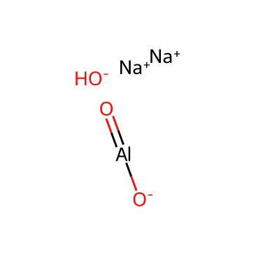 [Na+].[Na+].[OH-].[O]=[Al][O-]